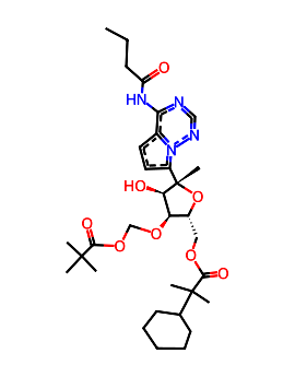 CCCC(=O)Nc1ncnn2c([C@]3(C)O[C@H](COC(=O)C(C)(C)C4CCCCC4)[C@@H](OCOC(=O)C(C)(C)C)[C@H]3O)ccc12